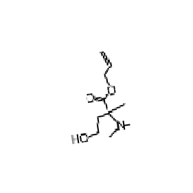 C=CCOC(=O)C(C)(CCO)N(C)C